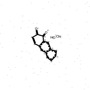 Cl.Cl.O=C1C=Cc2cc3ccccc3cc2C1=O